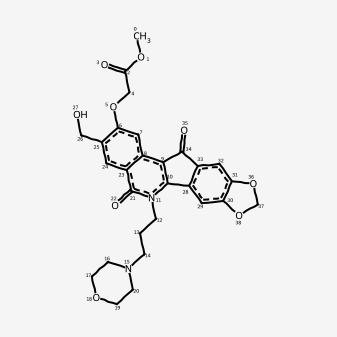 COC(=O)COc1cc2c3c(n(CCCN4CCOCC4)c(=O)c2cc1CO)-c1cc2c(cc1C3=O)OCO2